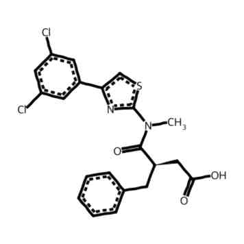 CN(C(=O)[C@@H](CC(=O)O)Cc1ccccc1)c1nc(-c2cc(Cl)cc(Cl)c2)cs1